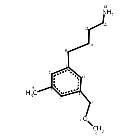 COCc1cc(C)cc(CCCCN)c1